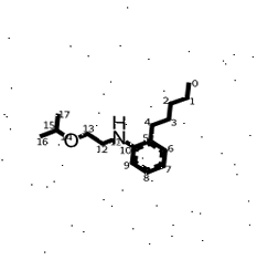 CCCCCc1ccccc1NCCOC(C)C